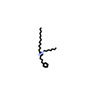 CCCCCCCCCCCCc1nc(CCCc2ccccc2)cn1CCCCCCC